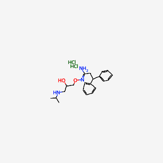 CC(C)NCC(O)CON=C(N)CC(c1ccccc1)c1ccccc1.Cl.Cl